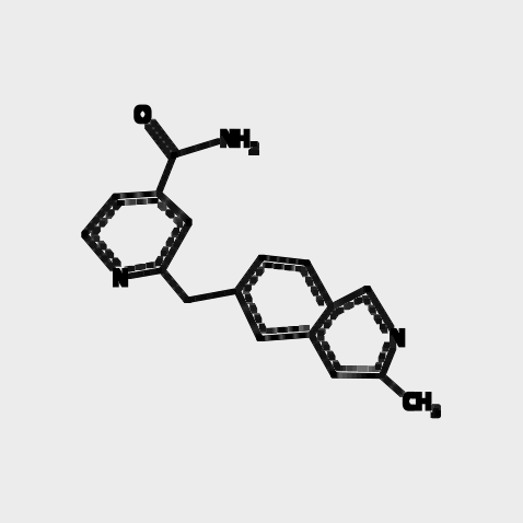 Cc1cc2cc(Cc3cc(C(N)=O)ccn3)ccc2cn1